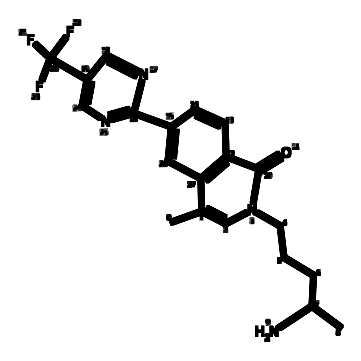 Cc1cn(CCCC(C)N)c(=O)c2ccc(-c3ncc(C(F)(F)F)cn3)cc12